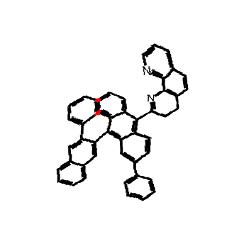 c1ccc(-c2ccc3c(C4=Nc5c(ccc6cccnc56)CC4)c4ccccc4c(-c4cc5ccccc5cc4-c4ccccc4)c3c2)cc1